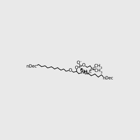 CCCCCCCCCCCCCCCCCCCCOCC(CNCCCCCCCCCCCCCCCC)OP(=O)([O-])OCC[N+](C)(C)C